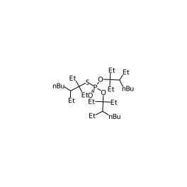 CCCCC(CC)C(CC)(CC)OP(=O)(OC(CC)(CC)C(CC)CCCC)SC(CC)(CC)C(CC)CCCC